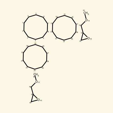 C1CCCCCCCCC1.C1CCCCCCCCC1.C1CCCCCCCCC1.COCC1CO1.COCC1CO1